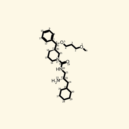 COCCCO[C@@H](c1ccccc1)[C@@H]1CCCN(C(=O)NC[C@@H](N)CC2CCCCC2)C1